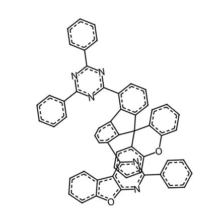 c1ccc(-c2nc(-c3ccccc3)nc(-c3cccc4c3-c3cccc(-c5nc(-c6ccccc6)nc6oc7ccccc7c56)c3C43c4ccccc4Oc4ccccc43)n2)cc1